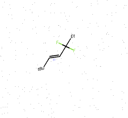 CCC(F)(F)/C=C/C(C)(C)C